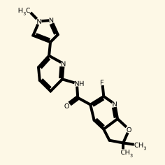 Cn1cc(-c2cccc(NC(=O)c3cc4c(nc3F)OC(C)(C)C4)n2)cn1